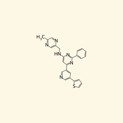 Cc1cnc(CNc2cc(-c3cncc(-c4cccs4)c3)nc(-c3ccccc3)n2)cn1